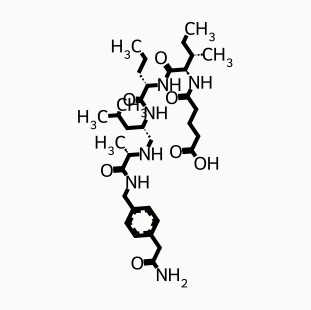 CCC[C@H](NC(=O)[C@@H](NC(=O)CCCC(=O)O)[C@@H](C)CC)C(=O)N[C@H](CN[C@@H](C)C(=O)NCc1ccc(CC(N)=O)cc1)CC(C)C